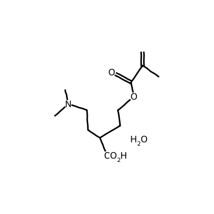 C=C(C)C(=O)OCCC(CCN(C)C)C(=O)O.O